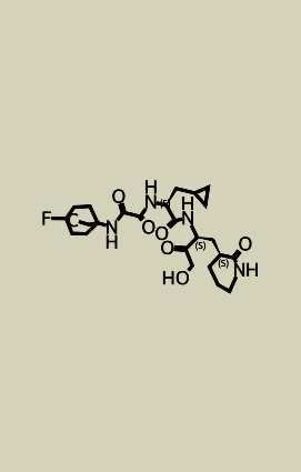 O=C(N[C@@H](CC1CC1)C(=O)N[C@@H](C[C@@H]1CCCNC1=O)C(=O)CO)C(=O)NC12CCC(F)(CC1)CC2